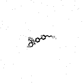 CC(C)(C)OC(=O)C1(S(=O)(=O)c2ccc(-c3ccc(CCCC(F)(F)F)cn3)cc2)CCNCC1